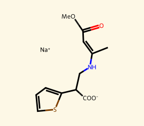 COC(=O)C=C(C)NCC(C(=O)[O-])c1cccs1.[Na+]